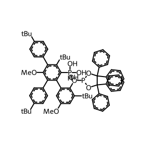 COc1cc(-c2c(-c3ccc(C(C)(C)C)cc3)c(OC)c(-c3ccc(C(C)(C)C)cc3)c(C(C)(C)C)c2[PH](O)(O)O)c(OP2OC(c3ccccc3)(c3ccccc3)C(c3ccccc3)(c3ccccc3)O2)c(C(C)(C)C)c1